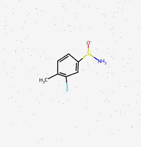 Cc1ccc([S+](N)[O-])cc1F